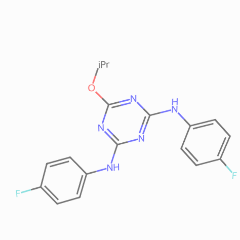 CC(C)Oc1nc(Nc2ccc(F)cc2)nc(Nc2ccc(F)cc2)n1